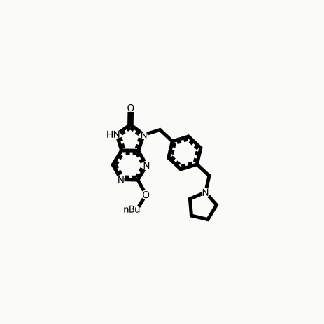 CCCCOc1ncc2[nH]c(=O)n(Cc3ccc(CN4CCCC4)cc3)c2n1